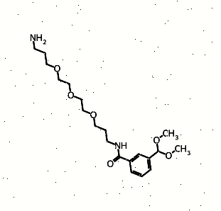 COC(OC)c1cccc(C(=O)NCCCOCCOCCOCCCN)c1